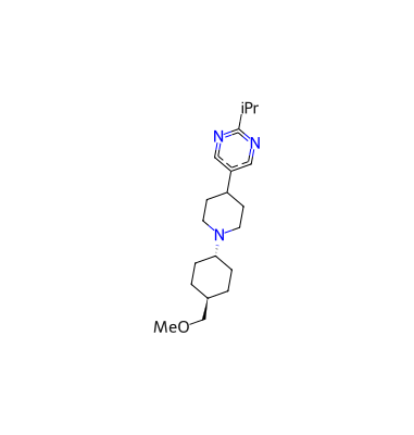 COC[C@H]1CC[C@H](N2CCC(c3cnc(C(C)C)nc3)CC2)CC1